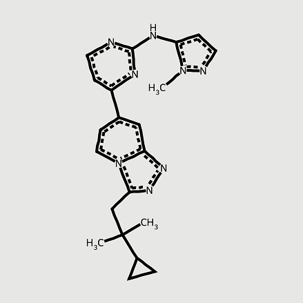 Cn1nccc1Nc1nccc(-c2ccn3c(CC(C)(C)C4CC4)nnc3c2)n1